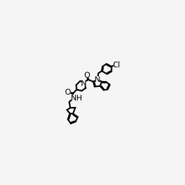 O=C(NCC1Cc2ccccc2C1)C1CCN(C(=O)c2cc3ccccc3n2Cc2ccc(Cl)cc2)CC1